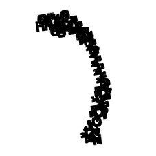 [2H]c1nccc(COc2ccc(C(C)(C)c3ccc(OCCCCCCCOCCN4CCN(c5ccc6c(c5)C(=O)N(C5CCC(=O)NC5=O)C6=O)CC4)cc3)cc2)n1